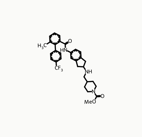 COC(=O)N1CCC(CNC2Cc3ccc(NC(=O)c4cccc(C)c4-c4ccc(C(F)(F)F)cc4)cc3C2)CC1